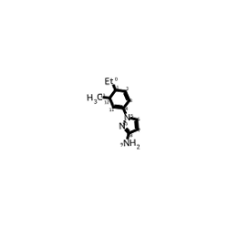 CCC1C=CC(n2ccc(N)n2)=CC1C